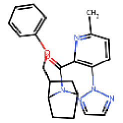 Cc1ccc(-n2nccn2)c(C(=O)N2C3CCC2C(COc2ccccc2)C3)n1